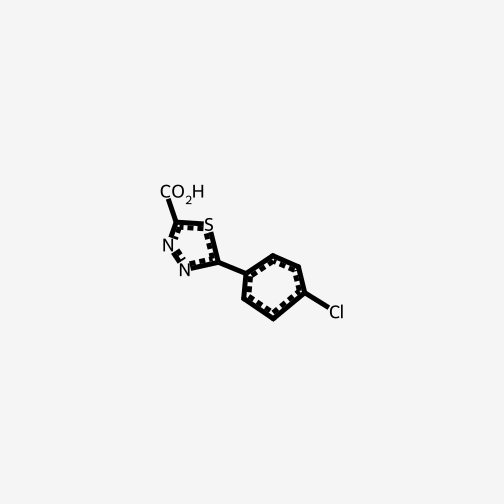 O=C(O)c1nnc(-c2ccc(Cl)cc2)s1